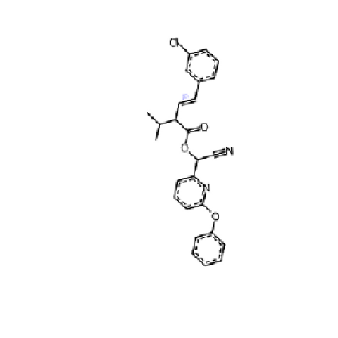 CC(C)C(/C=C/c1cccc(Cl)c1)C(=O)OC(C#N)c1cccc(Oc2ccccc2)n1